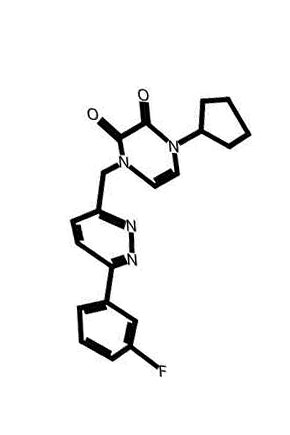 O=c1c(=O)n(C2CCCC2)ccn1Cc1ccc(-c2cccc(F)c2)nn1